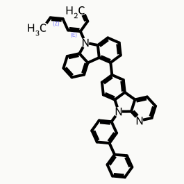 C=C/C(=C\C=C/C)n1c2ccccc2c2c(-c3ccc4c(c3)c3cccnc3n4-c3cccc(-c4ccccc4)c3)cccc21